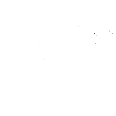 O=C(C(=O)N1CCN2CCC1CC2)c1cc(F)c(OCc2ccccc2)c(OCc2ccccc2)c1